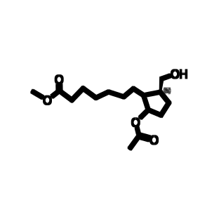 COC(=O)CCCCCCC1C(OC(C)=O)CC[C@@H]1CO